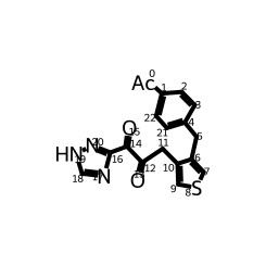 CC(=O)c1ccc(Cc2cscc2CC(=O)C(=O)c2nc[nH]n2)cc1